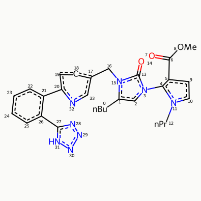 CCCCc1cn(-c2c(C(=O)OC)ccn2CCC)c(=O)n1Cc1ccc(-c2ccccc2-c2nnn[nH]2)nc1